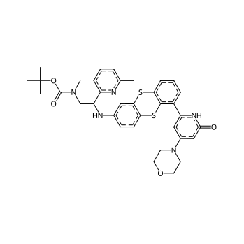 Cc1cccc(C(CN(C)C(=O)OC(C)(C)C)Nc2ccc3c(c2)Sc2cccc(-c4cc(N5CCOCC5)cc(=O)[nH]4)c2S3)n1